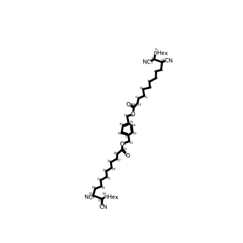 CCCCCCC(C#N)C(C#N)CCCCCCCCCC(=O)OCc1ccc(COC(=O)CCCCCCCCCC(C#N)C(C#N)CCCCCC)cc1